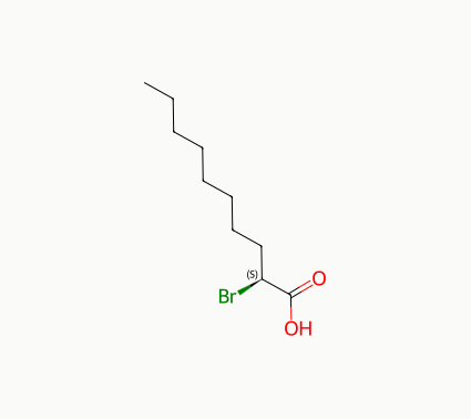 CCCCCCCC[C@H](Br)C(=O)O